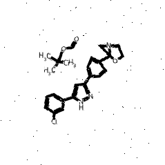 CC(C)(C)OC=O.Clc1cccc(-c2cc(-c3ccc(C45CN4CCO5)cc3)n[nH]2)c1